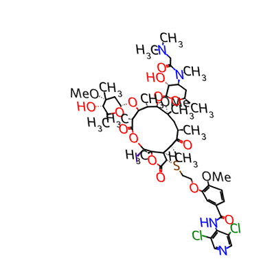 COc1ccc(C(=O)Nc2c(Cl)cncc2Cl)cc1OCCS[C@@H]1C(=O)O[C@@]2(C)[C@H]1[C@@H](C)C(=O)[C@H](C)C[C@@](C)(OC)[C@H](O[C@@H]1O[C@H](C)C[C@H](N(C)C(=O)CN(C)C)[C@H]1O)[C@@H](C)[C@H](O[C@H]1C[C@@](C)(OC)[C@@H](O)[C@H](C)O1)[C@@H](C)C(=O)O[C@@H]2I